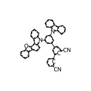 N#Cc1cccc(-c2cc(C#N)cc(-c3cc(-n4c5ccccc5c5ccccc54)cc(-n4c5ccccc5c5c6oc7ccccc7c6ccc54)c3)c2)c1